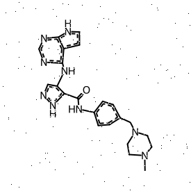 CN1CCN(Cc2ccc(NC(=O)c3[nH]ncc3Nc3ncnc4[nH]ccc34)cc2)CC1